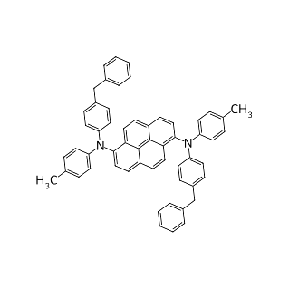 Cc1ccc(N(c2ccc(Cc3ccccc3)cc2)c2ccc3ccc4c(N(c5ccc(C)cc5)c5ccc(Cc6ccccc6)cc5)ccc5ccc2c3c54)cc1